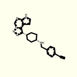 C#Cc1ccc(CN[C@H]2CC[C@@H](c3nnn4cnc5[nH]ccc5c34)CC2)cc1